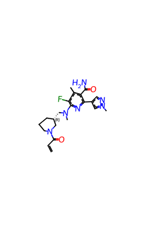 C=CC(=O)N1CCC[C@H](CN(C)c2nc(-c3cnn(C)c3)c(C(N)=O)c(C)c2F)C1